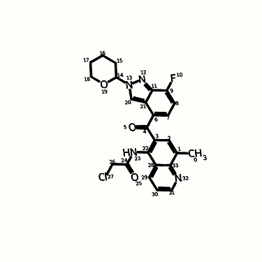 Cc1cc(C(=O)c2ccc(F)c3nn(C4CCCCO4)cc23)c(NC(=O)CCl)c2cccnc12